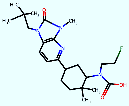 Cn1c(=O)n(CC(C)(C)C)c2ccc(C3CCC(C)(C)C(N(CCF)C(=O)O)C3)nc21